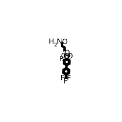 NC(=O)CCCOS(=O)(=O)c1ccc(-c2ccc(C(F)(F)F)cc2)cc1F